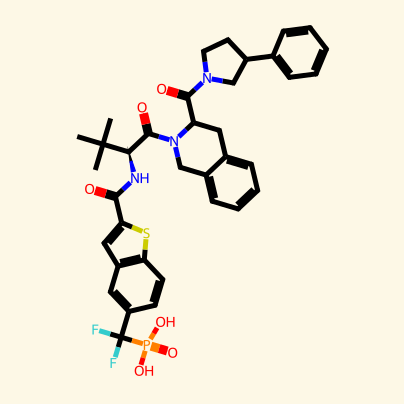 CC(C)(C)[C@H](NC(=O)c1cc2cc(C(F)(F)P(=O)(O)O)ccc2s1)C(=O)N1Cc2ccccc2CC1C(=O)N1CCC(c2ccccc2)C1